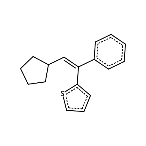 C(=C(c1ccccc1)c1cccs1)C1CCCC1